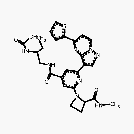 CCC(CNC(=O)c1cc(-c2cnn3ccc(-c4cccs4)nc23)nc(N2CCC2C(=O)NC)c1)NC(=O)O